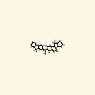 CC1(C)c2ccccc2-c2ccc(Nc3ccc4c5c(ccc4c3)-c3ccccc3C5(C)C)cc21